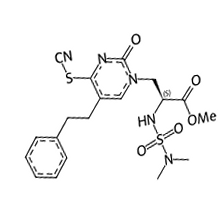 COC(=O)[C@H](Cn1cc(CCc2ccccc2)c(SC#N)nc1=O)NS(=O)(=O)N(C)C